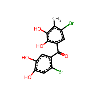 Cc1c(Br)cc(C(=O)c2cc(O)c(O)cc2Br)c(O)c1O